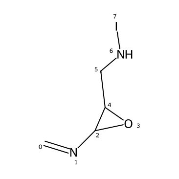 C=NC1OC1CNI